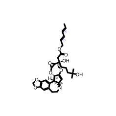 C/C=C/C=C/COC(=O)C[C@](O)(CCCC(C)(C)O)C1OC1O[C@@H]1C(OC)=C[C@]23CCCN2CCc2cc4c(cc2[C@H]13)OCO4